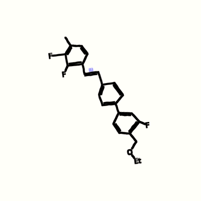 CCOCc1ccc(-c2ccc(/C=C/c3ccc(C)c(F)c3F)cc2)cc1F